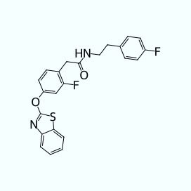 O=C(Cc1ccc(Oc2nc3ccccc3s2)cc1F)NCCc1ccc(F)cc1